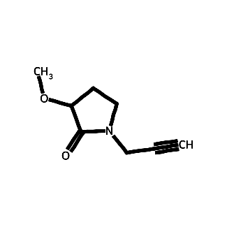 C#CCN1CCC(OC)C1=O